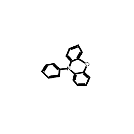 c1ccc(N2c3ccccc3Oc3ccccc32)cc1